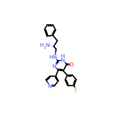 N[C@@H](CNc1nc(-c2ccncc2)c(-c2ccc(F)cc2)c(=O)[nH]1)Cc1ccccc1